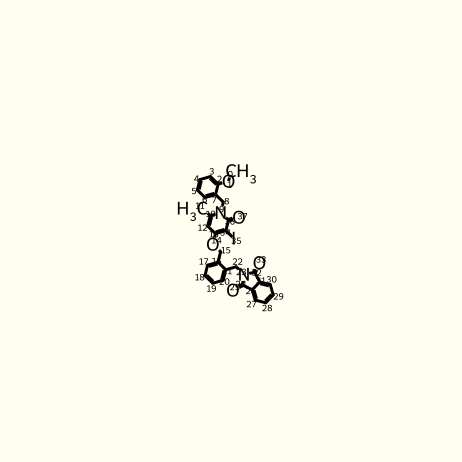 COc1ccccc1Cn1c(C)cc(OCc2ccccc2CN2C(=O)c3ccccc3C2=O)c(I)c1=O